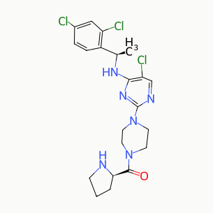 C[C@@H](Nc1nc(N2CCN(C(=O)[C@H]3CCCN3)CC2)ncc1Cl)c1ccc(Cl)cc1Cl